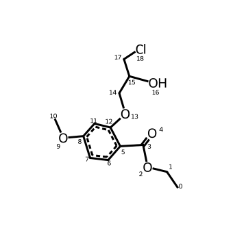 CCOC(=O)c1ccc(OC)cc1OCC(O)CCl